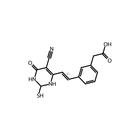 N#CC1=C(/C=C/c2cccc(CC(=O)O)c2)NC(S)NC1=O